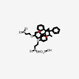 CCN(CC)CCOc1ccc(C(C)C2(c3ccccc3)CC2(c2ccccc2)C(C)c2ccc(OCCN(CC)CC)cc2)cc1.O=S(=O)(O)O